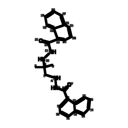 CC(C)(CNNC(=O)c1cccc2ccccc12)NNC(=O)c1cccc2ccccc12